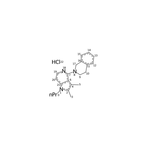 CCCn1c(C)c(C)c2c(N3CCc4ccccc4C3)nccc21.Cl